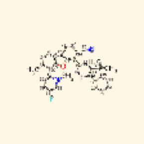 Cc1ccc2c(oc3c(-c4ccc5c(c4)C(C)(C)c4ccccc4-5)c(C#N)ccc32)c1-c1ccc(F)c[n+]1C